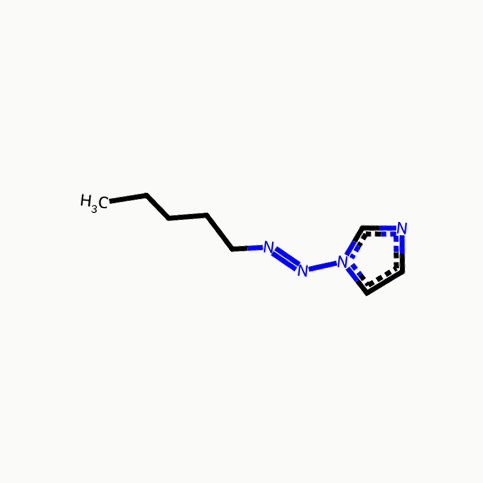 CCCCCN=Nn1ccnc1